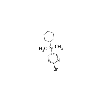 C[Si](C)(c1ccc(Br)nc1)C1CCCCC1